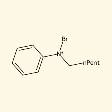 CCCCCC[N+](Br)c1ccccc1